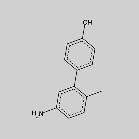 Cc1ccc(N)cc1-c1ccc(O)cc1